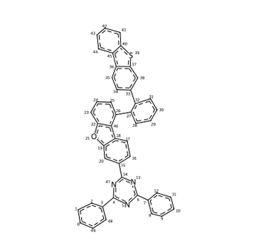 c1ccc(-c2nc(-c3ccccc3)nc(-c3ccc4c(c3)oc3cccc(-c5ccccc5-c5ccc6c(c5)sc5ccccc56)c34)n2)cc1